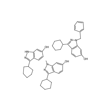 Cn1nc(C2CCCCC2)c2ccc(O)cc21.Oc1ccc2c(C3CCCCC3)n[nH]c2c1.Oc1ccc2c(C3CCCCC3)nn(Cc3ccccc3)c2c1